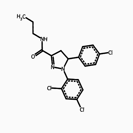 CCCNC(=O)C1=NN(c2ccc(Cl)cc2Cl)C(c2ccc(Cl)cc2)C1